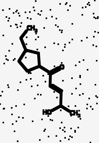 CCC1CCC(C(=O)/C=C/C(C)O)C1